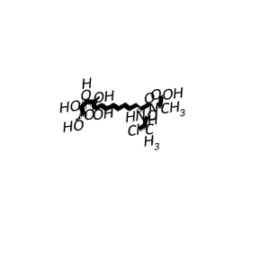 C[C@H](Cl)C(=O)N[C@@H](CCCCCCCC1(O)O[C@H](CO)[C@H](O)[C@H](O)[C@H]1O)C(=O)N[C@@H](C)C(=O)O